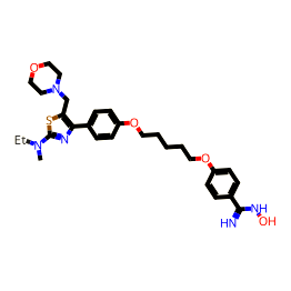 CCN(C)c1nc(-c2ccc(OCCCCCOc3ccc(C(=N)NO)cc3)cc2)c(CN2CCOCC2)s1